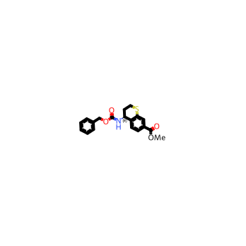 COC(=O)c1ccc2c(c1)SCC[C@H]2NC(=O)OCc1ccccc1